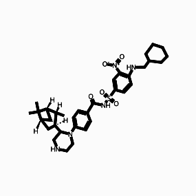 C[C@@H]1[C@@H](C2CNCCN2c2ccc(C(=O)NS(=O)(=O)c3ccc(NCC4CCCCC4)c([N+](=O)[O-])c3)cc2)C[C@H]2C[C@@H]1C2(C)C